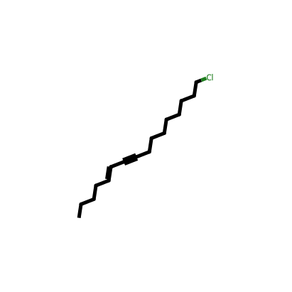 CCCCC=CC#CCCCCCCCCCl